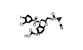 N#C[C@H]1C[C@H]1C(=O)NCC1CN(S(=O)(=O)c2ccc(F)c(Cl)c2)c2cc(NC(=O)O)ccc2O1